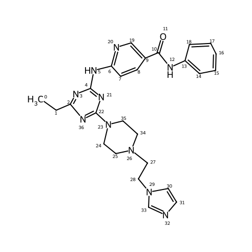 CCc1nc(Nc2ccc(C(=O)Nc3ccccc3)cn2)nc(N2CCN(CCn3ccnc3)CC2)n1